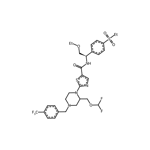 CCOC[C@H](NC(=O)c1cnc(N2CCN(Cc3ccc(C(F)(F)F)cc3)CC2COC(F)F)s1)c1ccc(S(=O)(=O)CC)cc1